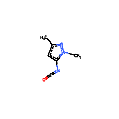 Cc1cc(N=C=O)n(C)n1